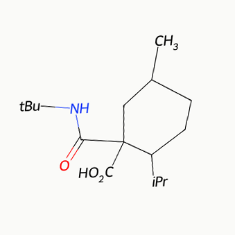 CC1CCC(C(C)C)C(C(=O)O)(C(=O)NC(C)(C)C)C1